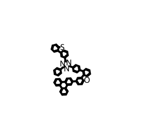 c1ccc(-c2nc(-c3ccc(-c4cccc5oc6ccc(-c7ccc8c9ccccc9c9ccccc9c8c7)cc6c45)cc3)nc(-c3ccc4sc5ccccc5c4c3)n2)cc1